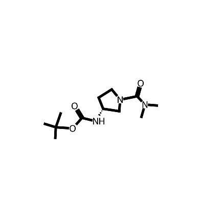 CN(C)C(=O)N1CC[C@@H](NC(=O)OC(C)(C)C)C1